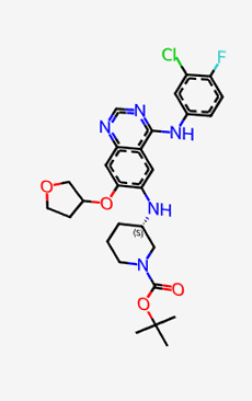 CC(C)(C)OC(=O)N1CCC[C@H](Nc2cc3c(Nc4ccc(F)c(Cl)c4)ncnc3cc2OC2CCOC2)C1